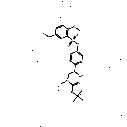 COc1ccc(OC)c(S(=O)(=O)Oc2ccc(C(O)CN(C)C(=O)OC(C)(C)C)cc2)c1